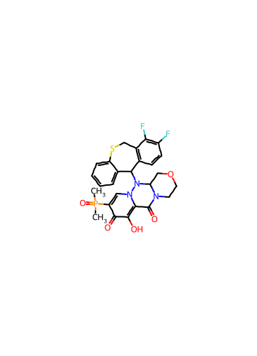 CP(C)(=O)c1cn2c(c(O)c1=O)C(=O)N1CCOCC1N2C1c2ccccc2SCc2c1ccc(F)c2F